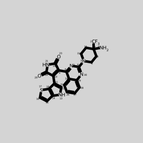 NC1(C(F)(F)F)CCN(c2nc(C3=C(c4c[nH]c5ccsc45)C(=O)NC3=O)c3ccccc3n2)CC1